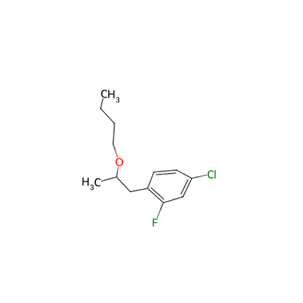 CCCCOC(C)Cc1ccc(Cl)cc1F